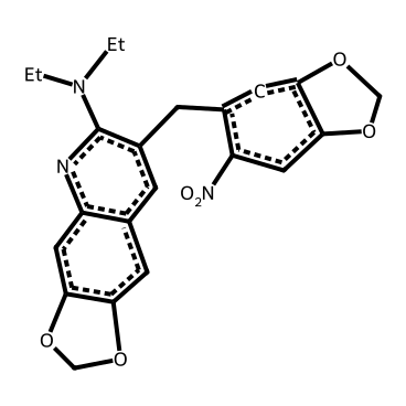 CCN(CC)c1nc2cc3c(cc2cc1Cc1cc2c(cc1[N+](=O)[O-])OCO2)OCO3